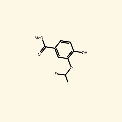 COC(=O)c1ccc(O)c(OC(F)F)c1